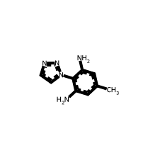 Cc1cc(N)c(-n2ccnn2)c(N)c1